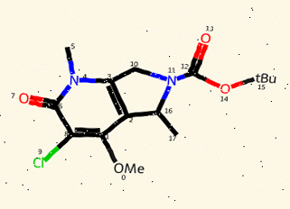 COc1c2c(n(C)c(=O)c1Cl)CN(C(=O)OC(C)(C)C)C2C